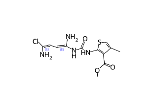 COC(=O)c1c(C)csc1NC(=O)N/C(N)=C/C=C(\N)Cl